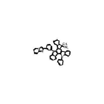 CC1(C)c2ccccc2-c2c1c1c3ccccc3n(-c3ccccc3)c1c1c3ccccc3n(-c3cccc(-c4cn5ccccc5n4)c3)c21